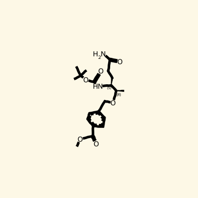 COC(=O)c1ccc(CO[C@H](C)[C@H](CCC(N)=O)NC(=O)OC(C)(C)C)cc1